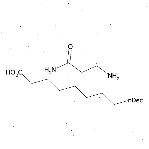 CCCCCCCCCCCCCCCCCC(=O)O.NCCC(N)=O